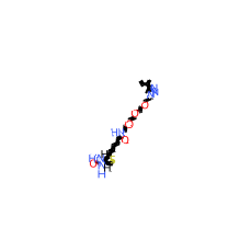 CCC(C)c1cn(CCOCCOCCOCCNC(=O)CCCCCC2SC[C@@H]3NC(=O)N[C@H]23)nn1